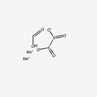 O=CO.O=S([O-])S(=O)[O-].[Na+].[Na+]